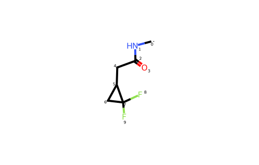 [CH2]NC(=O)CC1CC1(F)F